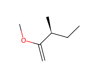 C=C(OC)[C@@H](C)CC